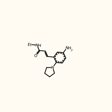 CCNC(=O)C=Cc1cc(N)ccc1N1CCCC1